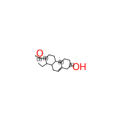 C[C@]12CC[C@H](O)CC1=CCC1C2CC[C@@]2(C)C1CC[C@@]21CO1